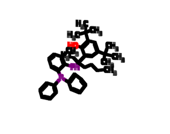 CCCCC(C)(Pc1c(C)cccc1P(c1ccccc1)c1ccccc1)c1cc(C(C)(C)C)cc(C(C)(C)C)c1O